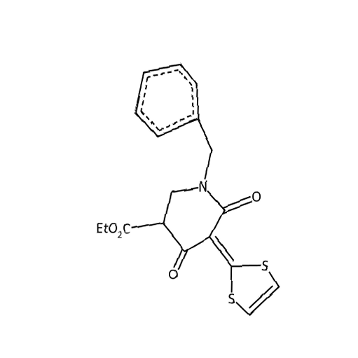 CCOC(=O)C1CN(Cc2ccccc2)C(=O)C(=C2SC=CS2)C1=O